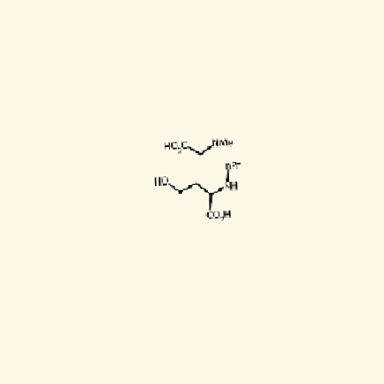 CCCNC(CCO)C(=O)O.CNCC(=O)O